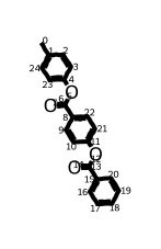 Cc1ccc(OC(=O)c2ccc(OC(=O)c3ccccc3)cc2)cc1